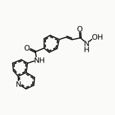 O=C(C=Cc1ccc(C(=O)Nc2cccc3ncccc23)cc1)NO